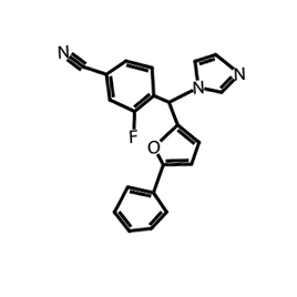 N#Cc1ccc(C(c2ccc(-c3ccccc3)o2)n2ccnc2)c(F)c1